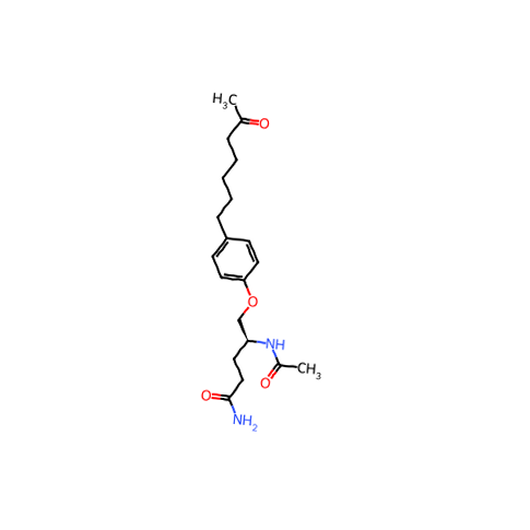 CC(=O)CCCCCc1ccc(OC[C@H](CCC(N)=O)NC(C)=O)cc1